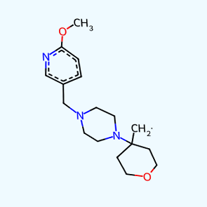 [CH2]C1(N2CCN(Cc3ccc(OC)nc3)CC2)CCOCC1